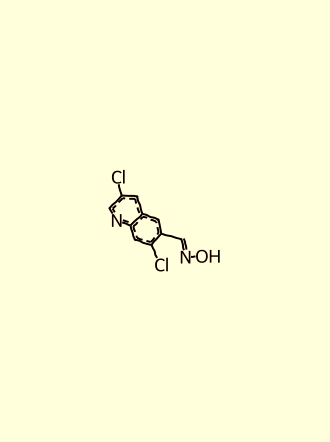 ON=Cc1cc2cc(Cl)cnc2cc1Cl